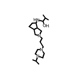 CC(C)C(O)NC1CCC2CN(CCCN3CCN(C(C)C)CC3)CC21